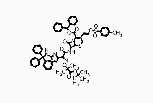 Cc1ccc(S(=O)(=O)OC=CC2=C(C(=O)OC(c3ccccc3)c3ccccc3)N3C(=O)C(NC(=O)C(=NOC(C)(C)C(=O)OC(C)(C)C)c4csc(NC(c5ccccc5)(c5ccccc5)c5ccccc5)n4)C3SC2)cc1